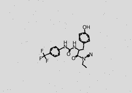 CCN(C#N)C(=O)C(Cc1ccc(O)cc1)NC(=O)Nc1ccc(C(F)(F)F)cc1